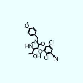 COc1ccc(CN2CNC(C(C)O)=C(Oc3cc(Cl)cc(C#N)c3Cl)C2=O)cc1